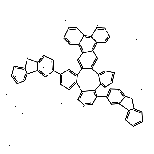 c1ccc2c(c1)-c1cc3c4ccccc4c4ccccc4c3cc1-c1cc(-c3ccc4sc5ccccc5c4c3)ccc1-c1cccc(-c3ccc4sc5ccccc5c4c3)c1-2